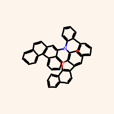 c1ccc(-c2ccccc2N(c2cc3ccc4ccccc4c3c3ccccc23)c2cccc3c2oc2c4ccccc4ccc32)cc1